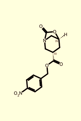 O=C(OCc1ccc([N+](=O)[O-])cc1)[C@H]1C[C@H]2CN(C1)C(=O)O2